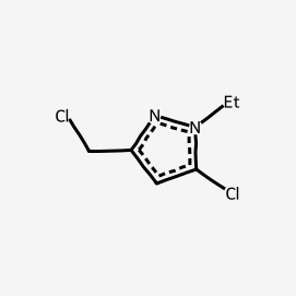 CCn1nc(CCl)cc1Cl